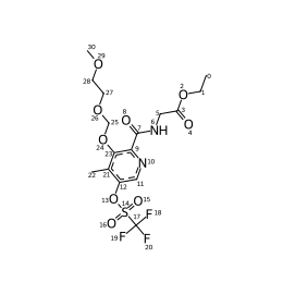 CCOC(=O)CNC(=O)c1ncc(OS(=O)(=O)C(F)(F)F)c(C)c1OCOCCOC